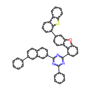 c1ccc(-c2ccc3ccc(-c4nc(-c5ccccc5)nc(-c5cccc6oc7cc(-c8cccc9c8sc8ccccc89)ccc7c56)n4)cc3c2)cc1